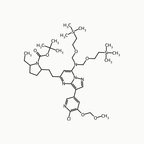 CCC1CCC(CCc2cc(N(COCC[Si](C)(C)C)COCC[Si](C)(C)C)n3ncc(-c4cnc(Cl)c(OCOC)c4)c3n2)N1C(=O)OC(C)(C)C